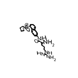 N=C(N)NCCC[C@H](N)C(=O)Nc1ccc2c(S(=O)(=O)N3CCCC3)cccc2c1